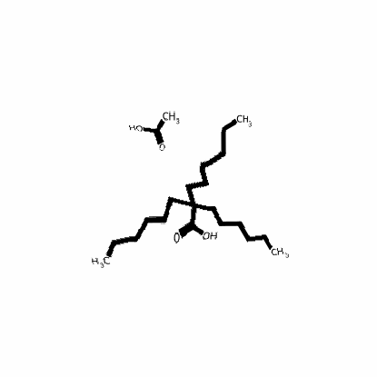 CC(=O)O.CCCCCCC(CCCCCC)(CCCCCC)C(=O)O